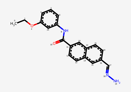 CCOc1cccc(NC(=O)c2ccc3cc(C=NN)ccc3c2)c1